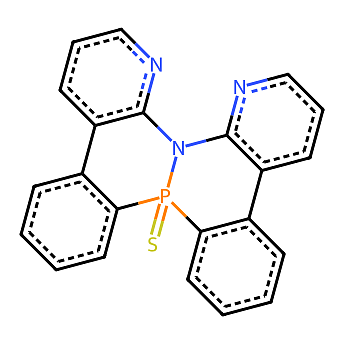 S=P12c3ccccc3-c3cccnc3N1c1ncccc1-c1ccccc12